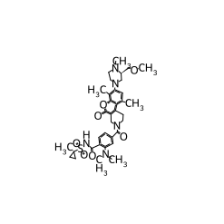 COC[C@H]1CN(c2cc(C)c3c4c(c(=O)oc3c2C)CN(C(=O)c2ccc(C(=O)NS(=O)(=O)C3(C)CC3)c(N(C)C)c2)CC4)CCN1C